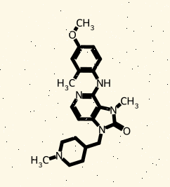 COc1ccc(Nc2nccc3c2n(C)c(=O)n3CC2CCN(C)CC2)c(C)c1